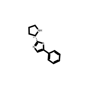 c1ccc(-c2cnc([C@@H]3CCCN3)s2)cc1